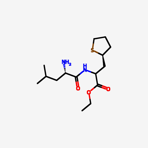 CCOC(=O)C(C[C@@H]1CCCS1)NC(=O)[C@@H](N)CC(C)C